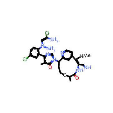 CN/C1=C(\C=N)NC(=O)C(C)CCCC(n2cnc(-c3cc(Cl)ccc3N(N)/C=C(\N)Cl)c(C)c2=O)c2cc1ccn2